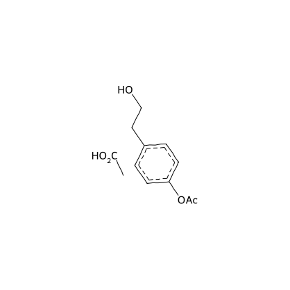 CC(=O)O.CC(=O)Oc1ccc(CCO)cc1